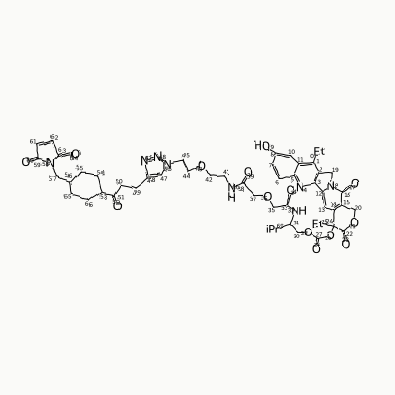 CCc1c2c(nc3ccc(O)cc13)-c1cc3c(c(=O)n1C2)COC(=O)C3(CC)OC(=O)OCC(NC(=O)COCC(=O)NCCOCCn1cc(CCC(=O)C2CCC(CN3C(=O)C=CC3=O)CC2)nn1)C(C)C